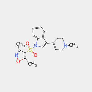 Cc1noc(C)c1S(=O)(=O)n1cc(C2=CCN(C)CC2)c2ccccc21